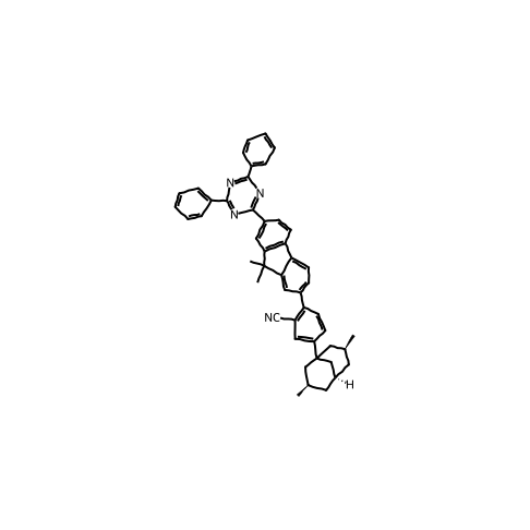 C[C@@H]1C[C@@H]2C[C@H](C)CC(c3ccc(-c4ccc5c(c4)C(C)(C)c4cc(-c6nc(-c7ccccc7)nc(-c7ccccc7)n6)ccc4-5)c(C#N)c3)(C1)C2